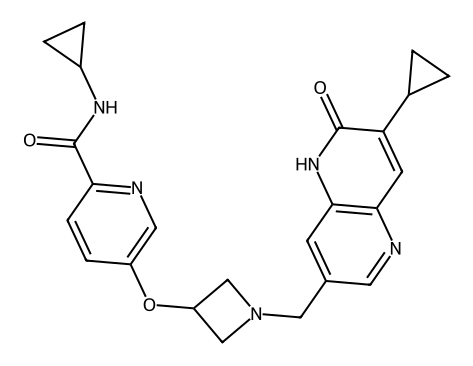 O=C(NC1CC1)c1ccc(OC2CN(Cc3cnc4cc(C5CC5)c(=O)[nH]c4c3)C2)cn1